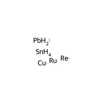 [Cu].[PbH2].[Re].[Ru].[SnH4]